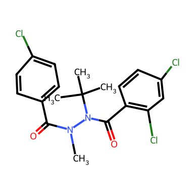 CN(C(=O)c1ccc(Cl)cc1)N(C(=O)c1ccc(Cl)cc1Cl)C(C)(C)C